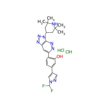 CC1(C)CC(n2nnc3cc(-c4ccc(-c5cnn(C(F)F)c5)cc4O)nnc32)CC(C)(C)N1.Cl.Cl